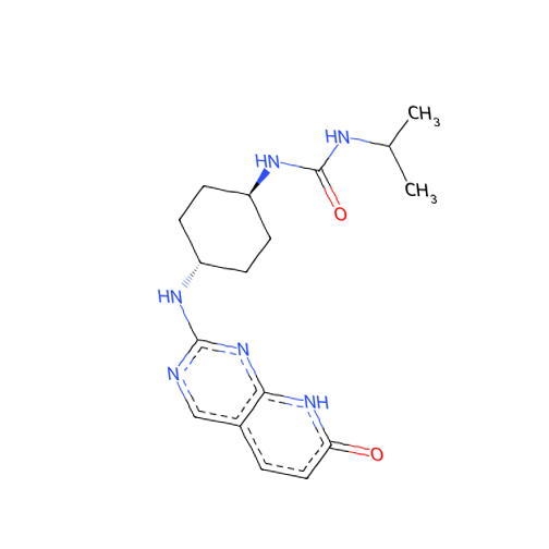 CC(C)NC(=O)N[C@H]1CC[C@H](Nc2ncc3ccc(=O)[nH]c3n2)CC1